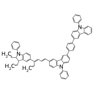 C=C/C(=C\C=C\c1ccc2c(c1)c1cc(-c3ccc(-c4ccc5c(c4)c4ccccc4n5-c4ccccc4)cc3)ccc1n2-c1ccccc1)c1ccc2c(c1)C(C=C)C(C=C)N2c1ccccc1